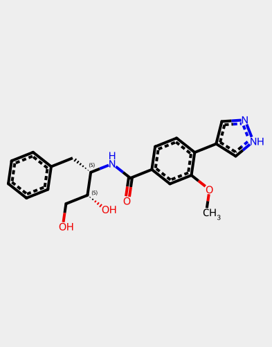 COc1cc(C(=O)N[C@@H](Cc2ccccc2)[C@H](O)CO)ccc1-c1cn[nH]c1